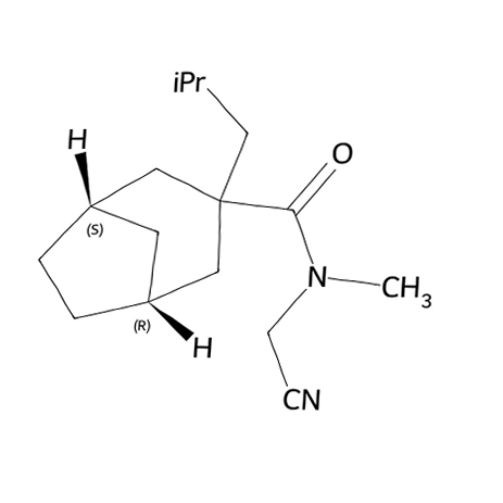 CC(C)CC1(C(=O)N(C)CC#N)C[C@@H]2CC[C@@H](C2)C1